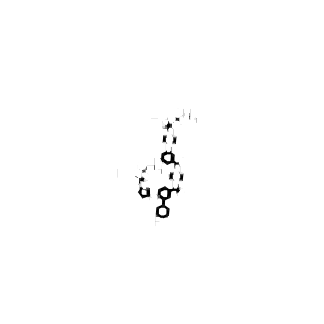 CC(C)(C)OC(=O)N1CCN(c2cc(F)cc(C(=O)N3CCN(C(=O)c4ccc(O[C@H]5CCN(C(=O)OC(C)(C)C)C5)c(C5CCC(F)(F)CC5)c4)CC3)c2)CC1